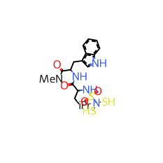 CNC(=O)C(Cc1c[nH]c2ccccc12)NC(=O)C(CC(C)C)NS(=O)(=O)N(S)S